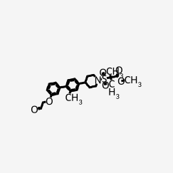 COC(=O)C(C)(C)S(=O)(=O)N1CCC(c2ccc(-c3cccc(OCC=O)c3)c(C)c2)CC1